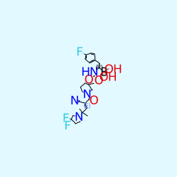 CC1(OC(=O)N[C@@H](Cc2ccc(F)cc2)B(O)O)CCCN(C(=O)/C(C#N)=C/C(C)(C)N2CCC(F)(F)C2)C1